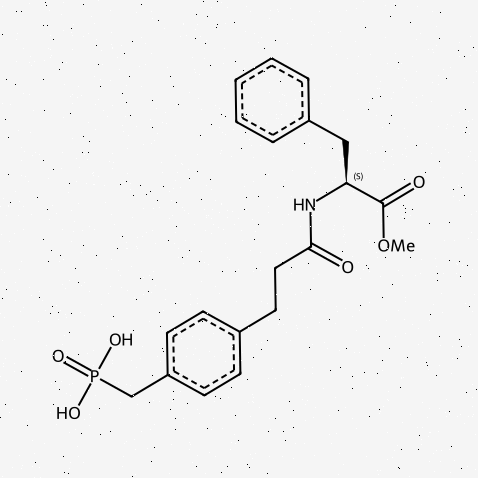 COC(=O)[C@H](Cc1ccccc1)NC(=O)CCc1ccc(CP(=O)(O)O)cc1